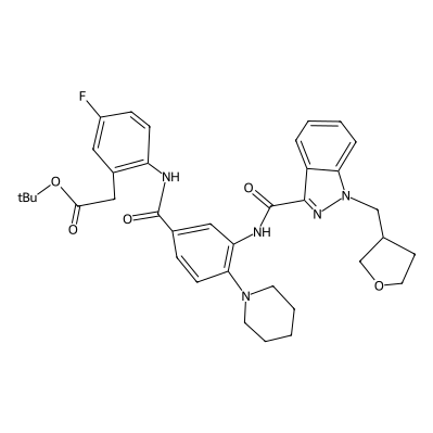 CC(C)(C)OC(=O)Cc1cc(F)ccc1NC(=O)c1ccc(N2CCCCC2)c(NC(=O)c2nn(CC3CCOC3)c3ccccc23)c1